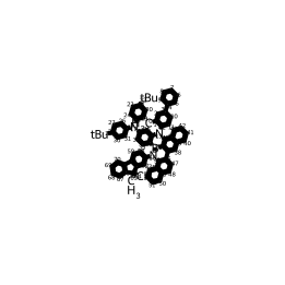 Cc1cc(-c2ccccc2)ccc1N1c2cc(N(c3ccc(C(C)(C)C)cc3)c3ccc(C(C)(C)C)cc3)ccc2B2c3c(cc4ccccc4c31)-c1ccc3ccccc3c1N2c1ccc2c(c1)C(C)(C)c1ccccc1-2